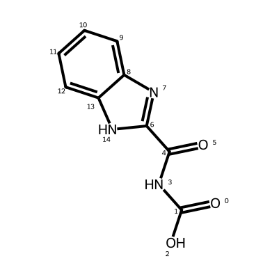 O=C(O)NC(=O)c1nc2ccccc2[nH]1